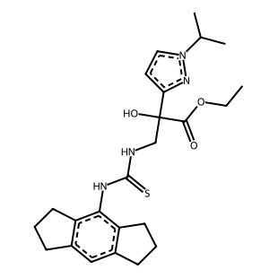 CCOC(=O)C(O)(CNC(=S)Nc1c2c(cc3c1CCC3)CCC2)c1ccn(C(C)C)n1